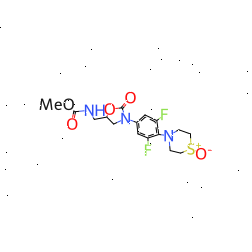 COC(=O)NCC1CN(c2cc(F)c(N3CC[S+]([O-])CC3)c(F)c2)C(=O)O1